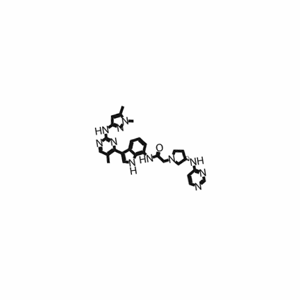 Cc1cnc(Nc2cc(C)n(C)n2)nc1-c1c[nH]c2c(NC(=O)CN3CC[C@H](Nc4ccncn4)C3)cccc12